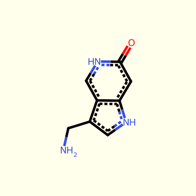 NCc1c[nH]c2cc(=O)[nH]cc12